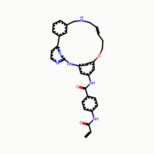 C=CC(=O)Nc1ccc(C(=O)Nc2cc3cc(c2)OCC/C=C/CNCc2cccc(c2)-c2ccnc(n2)N3)cc1